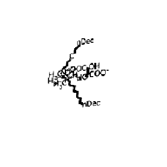 CCCCCCCCCCCCCCCCCC[N+](C)(C)C(C)[N+](C)(C)CCCCCCCCCCCCCCCCCC.O=C([O-])C(O)C(O)C(=O)[O-]